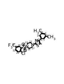 Cc1cc(C)cc(-c2csc(N3CCN(S(=O)(=O)c4cc(C(F)(F)F)ccc4Cl)CC3)n2)c1